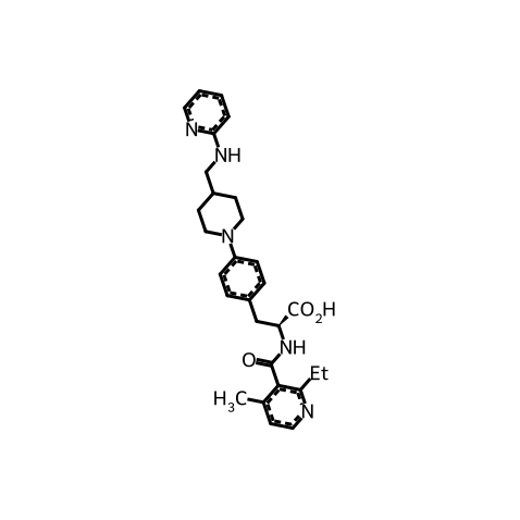 CCc1nccc(C)c1C(=O)N[C@@H](Cc1ccc(N2CCC(CNc3ccccn3)CC2)cc1)C(=O)O